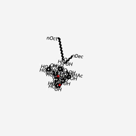 CCCCCCCC/C=C\CCCCCCCCCCCCCC(=O)N[C@@H](CO[C@@H]1OC(CO)[C@@H](O[C@@H]2OC(CO[C@@H]3OC(CO)[C@@H](O)[C@H](O)C3NC(C)=O)[C@H](O)[C@H](O[C@@H]3OC(CO)[C@@H](O[C@H]4OC(C)[C@@H](O)C(O)[C@@H]4O)[C@H](O[C@@H]4OC(CO)[C@H](O)[C@H](O[C@]5(C(=O)O)CC(O)[C@@H](NC(C)=O)C([C@H](O)[C@H](O)CO)O5)C4O)C3NC(C)=O)C2O)[C@H](O)C1O)[C@H](O)/C=C/CCCCCCCCCCCCC